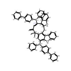 C=C1/C=C(/N(c2ccccc2)c2ccc(-c3ccccc3)cc2)c2c(oc3ccccc23)Cc2c(cc(N(c3ccccc3)c3ccc(-c4ccccc4)cc3)c3oc4ccccc4c23)C1(C)C